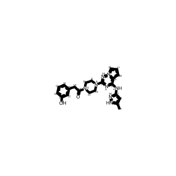 Cc1cc(Nc2nc(N3CCN(C(=O)Cc4cccc(O)c4)CC3)nn3cccc23)n[nH]1